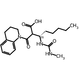 CCCCC[C@H](NC(=O)NC)C(C(=O)O)C(=O)N1CCCc2ccccc21